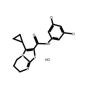 Cl.O=C(Nc1cc(Cl)cc(Cl)c1)C1=C(C2CC2)N2CCCN=C2S1